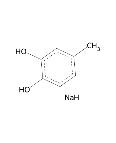 Cc1ccc(O)c(O)c1.[NaH]